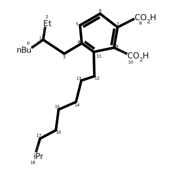 CCCCC(CC)Cc1ccc(C(=O)O)c(C(=O)O)c1CCCCCCC(C)C